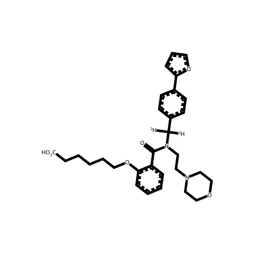 [2H]C([2H])(c1ccc(-c2ccco2)cc1)N(CCN1CCOCC1)C(=O)c1ccccc1OCCCCCC(=O)O